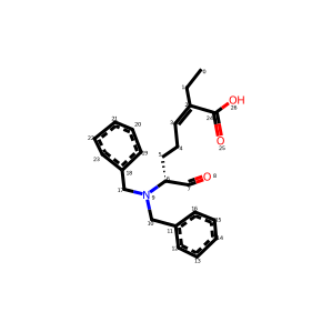 CCC(=CCC[C@H](C=O)N(Cc1ccccc1)Cc1ccccc1)C(=O)O